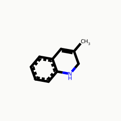 CC1=Cc2cc[c]cc2NC1